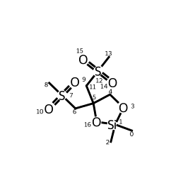 C[Si]1(C)OCC(CS(C)(=O)=O)(CS(C)(=O)=O)O1